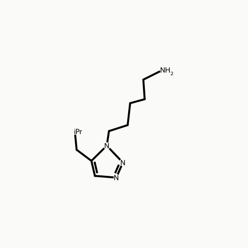 CC(C)Cc1cnnn1CCCCCN